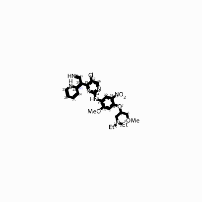 CCN(CC)CC(COC)Oc1cc(OC)c(Nc2ncc(Cl)c(/C(C=N)=C3\C=CC=CN3)n2)cc1[N+](=O)[O-]